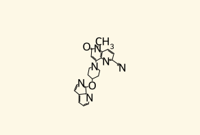 Cn1c(=O)cc(N2CCC(Oc3nccc4cccnc34)CC2)c2nc(C#N)ccc21